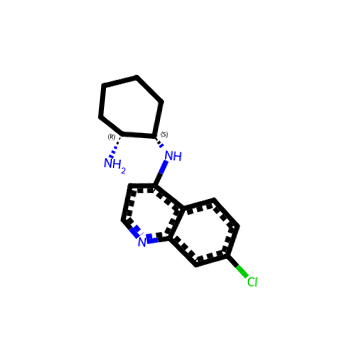 N[C@@H]1CCCC[C@@H]1Nc1ccnc2cc(Cl)ccc12